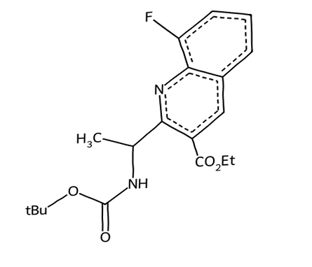 CCOC(=O)c1cc2cccc(F)c2nc1C(C)NC(=O)OC(C)(C)C